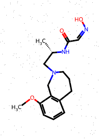 COc1cccc2c1CN(C[C@H](C)NC(=O)/C=N\O)CCC2